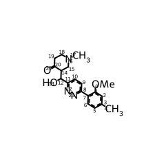 COc1cc(C)ccc1-c1ccc(C(O)C2CN(C)CCC2=O)nn1